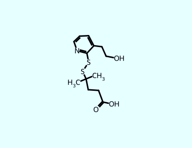 CC(C)(CCC(=O)O)SSc1ncccc1CCO